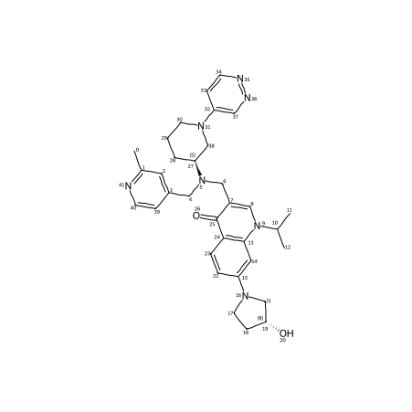 Cc1cc(CN(Cc2cn(C(C)C)c3cc(N4CC[C@@H](O)C4)ccc3c2=O)[C@H]2CCCN(c3ccnnc3)C2)ccn1